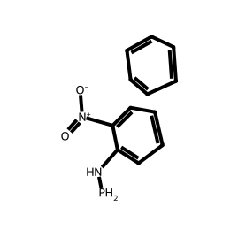 O=[N+]([O-])c1ccccc1NP.c1ccccc1